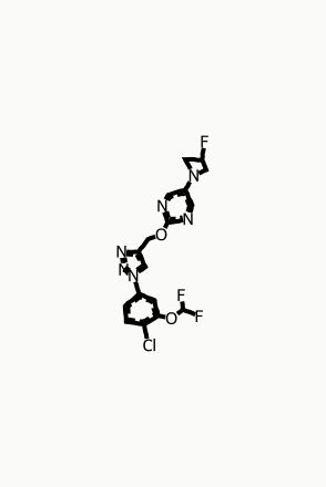 FC1CN(c2cnc(OCc3cn(-c4ccc(Cl)c(OC(F)F)c4)nn3)nc2)C1